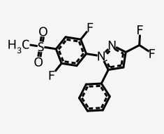 CS(=O)(=O)c1cc(F)c(-n2nc(C(F)F)cc2-c2ccccc2)cc1F